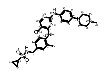 Cc1cc(CNS(=O)(=O)C2CC2)ccc1Nc1nc(Nc2ccc(N3CCN(C)CC3)cc2)ncc1Cl